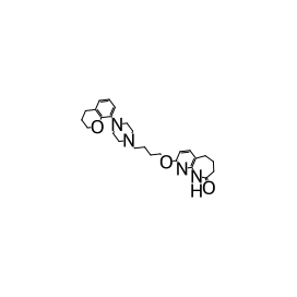 O=C1CCCc2ccc(OCCCCN3CCN(c4cccc5c4OCCC5)CC3)nc2N1